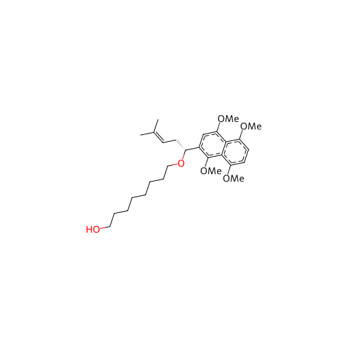 COc1ccc(OC)c2c(OC)c([C@@H](CC=C(C)C)OCCCCCCCCO)cc(OC)c12